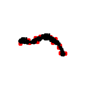 C=C1C=CC(=O)N1CCCCCC(=O)OCCc1ccc(N2C(=O)c3ccc(Oc4ccc(C(C)(C)c5ccc(Oc6ccc7c(c6)C(=O)N(c6ccc(CCOC(=O)CCCCCN8C(=O)C=CC8=O)cc6)C7=O)cc5)cc4)cc3C2=O)cc1